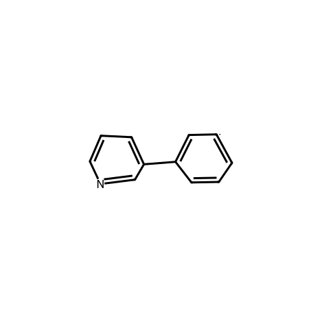 [c]1cccc(-c2cccnc2)c1